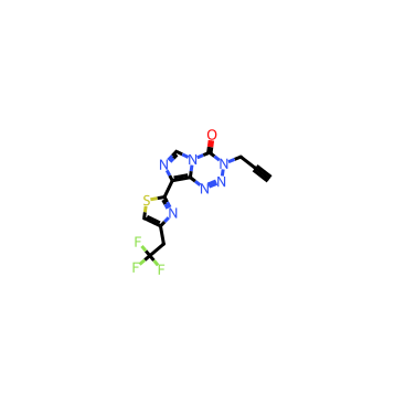 C#CCn1nnc2c(-c3nc(CC(F)(F)F)cs3)ncn2c1=O